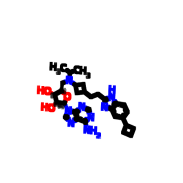 CC(C)N(C[C@H]1O[C@@H](n2cnc3c(N)ncnc32)[C@H](O)[C@@H]1O)C1CC(CCc2nc3cc(C4CCC4)ccc3[nH]2)C1